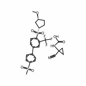 CO[C@H]1CC[C@H](S(=O)(=O)c2ccc(-c3ccc(S(C)(=O)=O)cc3)cc2C(F)(F)F)C1.N#CC1(NC(=O)O)CC1